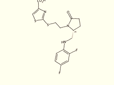 O=C(O)c1csc(SCCN2C(=O)CC[C@@H]2CNc2ccc(F)cc2F)n1